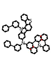 c1ccc(-c2cccc(N(c3cccc(-c4ccccc4N(c4ccccc4)c4ccccc4-c4ccccc4)c3)c3ccc4c(c3)c3ccc5sc6ccccc6c5c3n4-c3cccc(-c4ccccc4)c3)c2)cc1